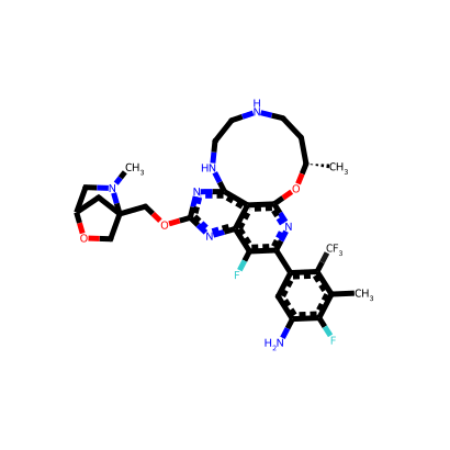 Cc1c(F)c(N)cc(-c2nc3c4c(nc(OCC56COC(CN5C)C6)nc4c2F)NCCNCC[C@H](C)O3)c1C(F)(F)F